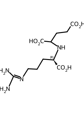 NC(N)=NCCC[C@@H](NC(CCC(=O)O)C(=O)O)C(=O)O